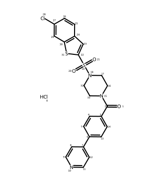 Cl.O=C(c1ccc(-c2ccncc2)cc1)N1CCN(S(=O)(=O)c2cc3ccc(Cl)cc3s2)CC1